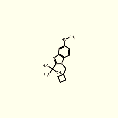 CNc1ccc2c(c1)nc(C(C)(C)C)n2CC1CCC1